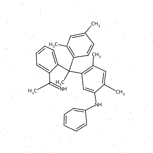 CC(=N)c1ccccc1C(C)(c1ccc(C)cc1C)c1cc(Nc2ccccc2)c(C)cc1C